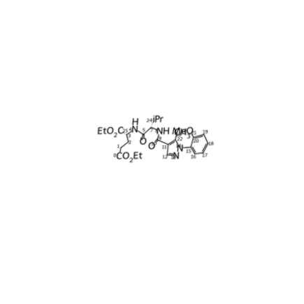 CCOC(=O)CC[C@@H](NC(=O)[C@@H](NC(=O)c1cnn(-c2ccccc2OC)c1C)C(C)C)C(=O)OCC